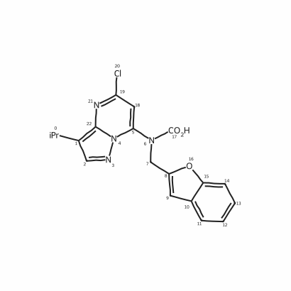 CC(C)c1cnn2c(N(Cc3cc4ccccc4o3)C(=O)O)cc(Cl)nc12